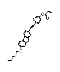 C=CC(=O)Oc1ccc(C#Cc2ccc3c(c2)Cc2cc(OCCCCC)ccc2-3)nc1